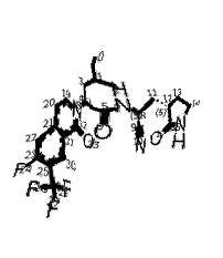 CC(C)C[C@@H](C(=O)N[C@H](C#N)C[C@@H]1CCNC1=O)n1ccc2cc(F)c(C(F)(F)F)cc2c1=O